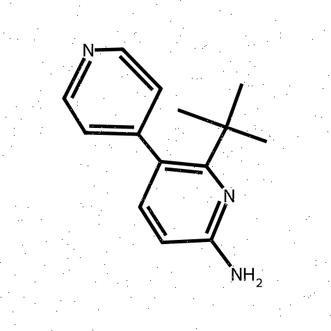 CC(C)(C)c1nc(N)ccc1-c1ccncc1